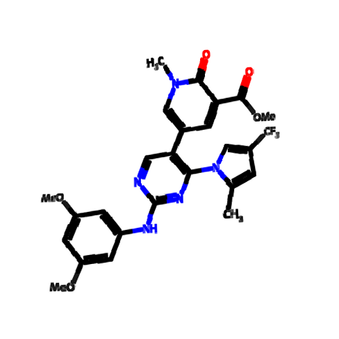 COC(=O)c1cc(-c2cnc(Nc3cc(OC)cc(OC)c3)nc2-n2cc(C(F)(F)F)cc2C)cn(C)c1=O